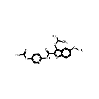 COc1ccc2sc(C(=O)Nc3ccc(OC(=O)O)cn3)c(OC(C)C)c2c1